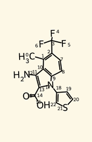 Cc1c(C(F)(F)F)ccc2c1c(N)c(C(=O)O)n2-c1ccsc1